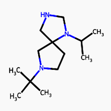 CC(C)N1CNCC12CCN(C(C)(C)C)C2